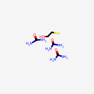 NC(N)=O.NC(N)=O.NC(N)=O.OCCS